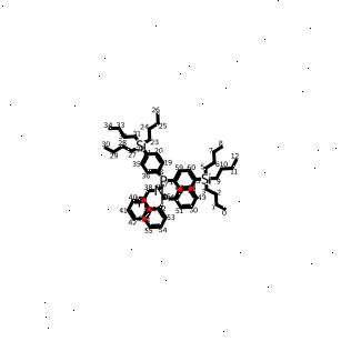 CCCC[Si](CCCC)(CCCC)c1ccc(P(c2ccc([Si](CCCC)(CCCC)CCCC)cc2)N(Cc2ccccc2)P(c2ccccc2)c2ccccc2F)cc1